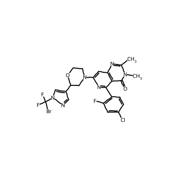 Cc1nc2cc(N3CCOC(c4cnn(C(F)(F)Br)c4)C3)nc(-c3ccc(Cl)cc3F)c2c(=O)n1C